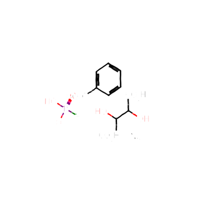 O=C(O)C(O)C(O)C(=O)O.O=C(O)c1ccccc1.O=P([O-])(O)F.[Na+]